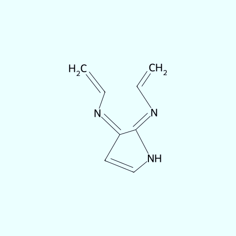 C=C/N=C1/C=CN/C1=N/C=C